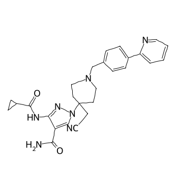 N#CCC1(n2cc(C(N)=O)c(NC(=O)C3CC3)n2)CCN(Cc2ccc(-c3ccccn3)cc2)CC1